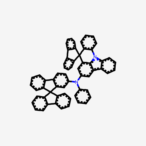 c1ccc(N(c2ccc3c(c2)C2(c4ccccc4-c4ccccc42)c2ccccc2-3)c2cc3c4c(c2)c2ccccc2n4-c2ccccc2C32c3ccccc3-c3ccccc32)cc1